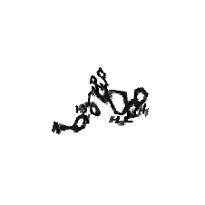 CN(C)C1(c2ccccc2)CCC2(CC1)CN(CC(=O)Nc1cc(C#N)ccn1)C(=O)N2CC1CCC1